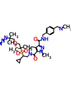 C=NCc1ccc(CNC(=O)c2nn(C)c3c2CCN(CC(C2CC2)S(=O)(=O)C(C)(C)COCC(C)(C)N=[N+]=[N-])C3=O)cc1